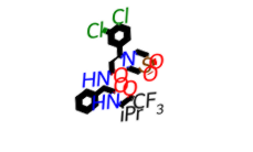 CC(C)[C@H](NC(=O)[C@@H](NC(=O)C[C@@H](c1ccc(Cl)c(Cl)c1)N1CCS(=O)(=O)CC1)c1ccccc1)C(=O)C(F)(F)F